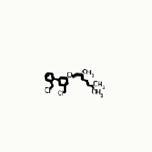 CC(C)CCCC(C)CCOc1cc(CCl)cc(-c2ccccc2CCl)c1